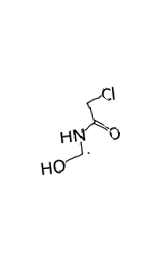 O=C(CCl)N[CH]O